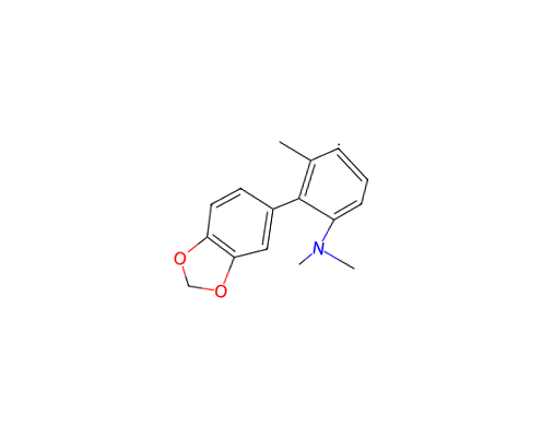 Cc1[c]ccc(N(C)C)c1-c1ccc2c(c1)OCO2